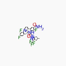 CC1Cc2c(C(F)(F)F)nn(CC(=O)NC(Cc3cc(F)cc(F)c3)c3ncccc3-c3ccc(F)c(C(N)=O)c3)c2C1